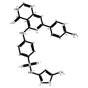 Cc1cc(NS(=O)(=O)c2ccc(Nc3nc(-c4ccc(N)nc4)cc4nc[nH]c(=O)c34)cc2)no1